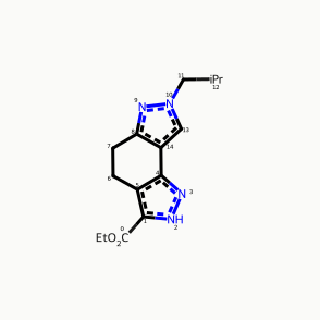 CCOC(=O)c1[nH]nc2c1CCc1nn(CC(C)C)cc1-2